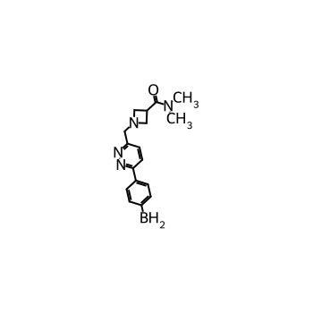 Bc1ccc(-c2ccc(CN3CC(C(=O)N(C)C)C3)nn2)cc1